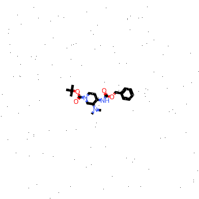 CN(C)C1CN(C(=O)OC(C)(C)C)CCC1NC(=O)OCc1ccccc1